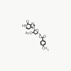 CC(=O)OC1C[C@@H](COC(=O)c2ccc(C)cc2)O[C@H]1n1cnc2c(=O)[nH]ccc21